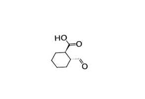 O=C[C@@H]1CCCC[C@H]1C(=O)O